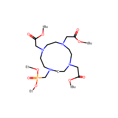 CCOP(=O)(CN1CCN(CC(=O)OC(C)(C)C)CCN(CC(=O)OC(C)(C)C)CCN(CC(=O)OC(C)(C)C)CC1)OCC